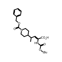 CC(/C=C(\NC(=O)OC(C)(C)C)C(=O)O)C1CCN(C(=O)OCc2ccccc2)CC1